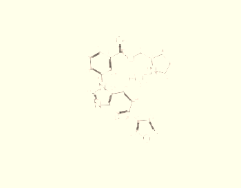 CN1CCCC1COC(=O)c1cccc(-n2cnc3cc(-c4ccoc4)ccc32)c1